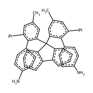 Cc1cc(C(C)C)c(-c2ccc(N)cc2)c(C2(c3cc(C)cc(C(C)C)c3-c3ccc(N)cc3)c3ccccc3-c3ccccc32)c1